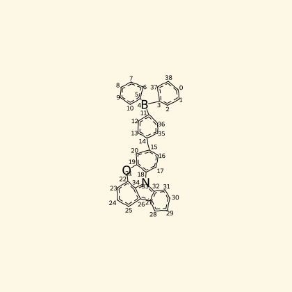 c1ccc(B(c2ccccc2)c2ccc(-c3ccc4c(c3)Oc3cccc5c6ccccc6n-4c35)cc2)cc1